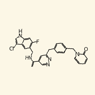 C=C(NCc1cc2c(Cl)c[nH]c2cc1F)c1cnnc(Cc2ccc(Cn3ccccc3=O)cc2)c1